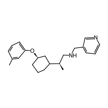 Cc1cccc(O[C@@H]2CCCC([C@H](C)CNCc3cccnc3)C2)c1